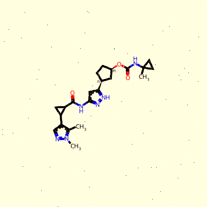 Cc1c(C2CC2C(=O)Nc2cc([C@H]3CC[C@@H](OC(=O)NC4(C)CC4)C3)[nH]n2)cnn1C